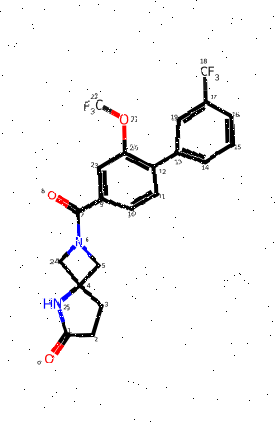 O=C1CCC2(CN(C(=O)c3ccc(-c4cccc(C(F)(F)F)c4)c(OC(F)(F)F)c3)C2)N1